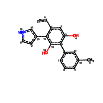 CCCCCc1cc(O)c(-c2cccc(C)c2)c(O)c1-c1cc[nH]c1